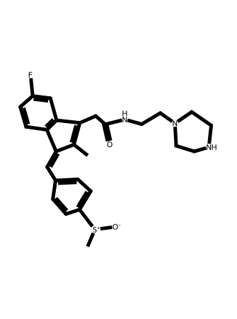 CC1=C(CC(=O)NCCN2CCNCC2)c2cc(F)ccc2/C1=C/c1ccc([S+](C)[O-])cc1